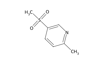 Cc1ccc(S(C)(=O)=O)cn1